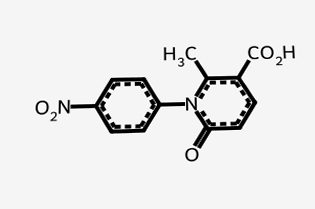 Cc1c(C(=O)O)ccc(=O)n1-c1ccc([N+](=O)[O-])cc1